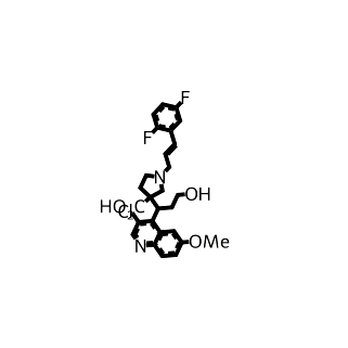 COc1ccc2ncc(Cl)c(C(CCO)C3(C(=O)O)CCN(C/C=C/c4cc(F)ccc4F)C3)c2c1